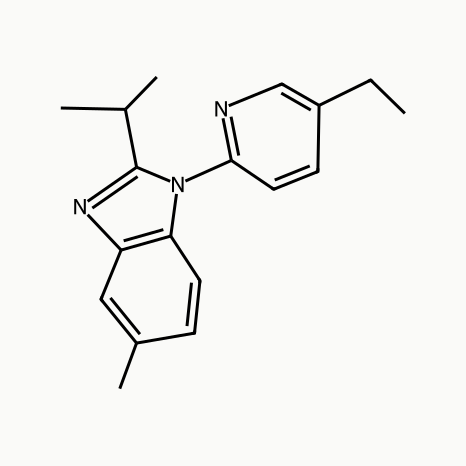 CCc1ccc(-n2c(C(C)C)nc3cc(C)ccc32)nc1